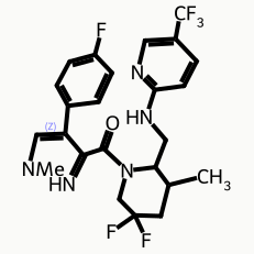 CN/C=C(\C(=N)C(=O)N1CC(F)(F)CC(C)C1CNc1ccc(C(F)(F)F)cn1)c1ccc(F)cc1